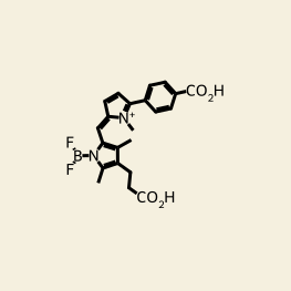 Cc1c(CCC(=O)O)c(C)n(B(F)F)c1/C=C1/C=CC(c2ccc(C(=O)O)cc2)=[N+]1C